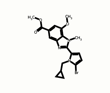 COC(=O)c1cc(OC)c2c(c1)nc(-c1ccc(Br)n1CC1CC1)n2C